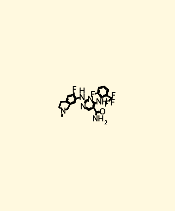 CN1CCc2cc(F)c(Nc3ncc(C(N)=O)c(Nc4c(F)cccc4C(F)(F)F)n3)cc2C1